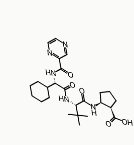 CC(C)(C)[C@H](NC(=O)[C@@H](NC(=O)c1cnccn1)C1CCCCC1)C(=O)N[C@H]1CCC[C@H]1C(=O)O